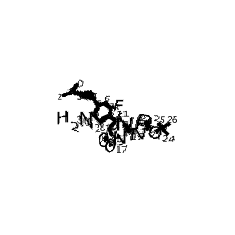 CC(C)C#Cc1cc(F)c([C@]2(C)CS(=O)(=O)N(C)/C(=N/C(=O)OC(C)(C)C)N2)cc1N